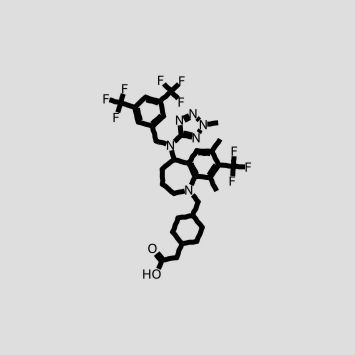 Cc1cc2c(c(C)c1C(F)(F)F)N(CC1CCC(CC(=O)O)CC1)CCCC2N(Cc1cc(C(F)(F)F)cc(C(F)(F)F)c1)c1nnn(C)n1